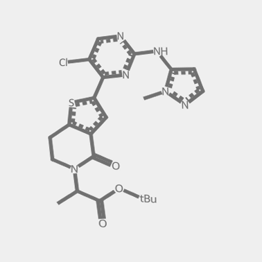 CC(C(=O)OC(C)(C)C)N1CCc2sc(-c3nc(Nc4ccnn4C)ncc3Cl)cc2C1=O